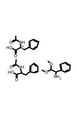 CC(=O)NC(Cc1ccccc1)C(=O)O.CC(=O)N[C@@H](Cc1ccccc1)C(=O)O.COC(OC)C(N)c1ccccc1